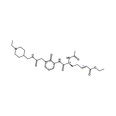 CCOC(=O)/C=C/CC[C@H](NC(C)=O)C(=O)Nc1cccn(CC(=O)NCC2CCN(CC)CC2)c1=O